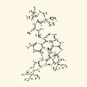 Cc1cc(-c2c(Nc3cc4c(cc3C)C(C)(C)CCC4(C)C)ccc3sc4ccccc4c23)c2c(c1)-n1c3ccc(C(C)(C)C)cc3c3cc(C(C)(C)C)cc(c31)B2